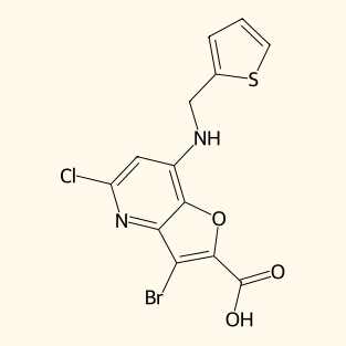 O=C(O)c1oc2c(NCc3cccs3)cc(Cl)nc2c1Br